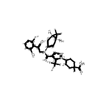 CC1(C(=O)O)CCC(n2ncc(C(=O)N(CC(=O)c3c(F)cccc3Cl)[C@H]3C[C@@H]4[C@H](C3)C4(C)C)c2C(F)(F)F)CC1